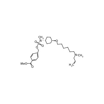 C=CCN(C)CCCCCCO[C@H]1CC[C@H](N(C)S(=O)(=O)OCc2ccc(C(=O)OC)cc2)CC1